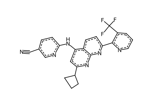 N#Cc1ccc(Nc2cc(C3CCC3)nc3nc(-c4ncccc4C(F)(F)F)ccc23)nc1